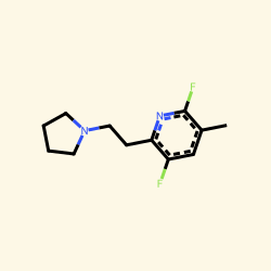 Cc1cc(F)c(CCN2CCCC2)nc1F